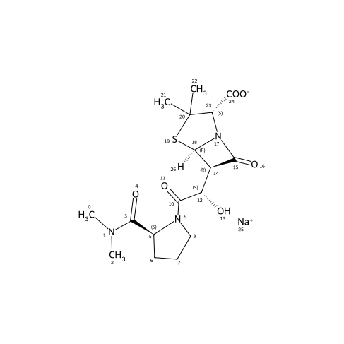 CN(C)C(=O)[C@@H]1CCCN1C(=O)[C@@H](O)[C@@H]1C(=O)N2[C@@H]1SC(C)(C)[C@@H]2C(=O)[O-].[Na+]